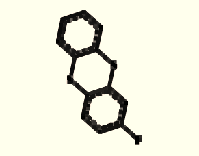 Fc1ccc2c(c1)Sc1ccccc1S2